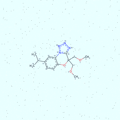 COCC1(COC)Oc2ccc(C(C)C)cc2-n2nnnc21